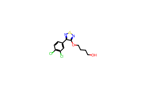 OCCCCOc1nsnc1-c1ccc(Cl)c(Cl)c1